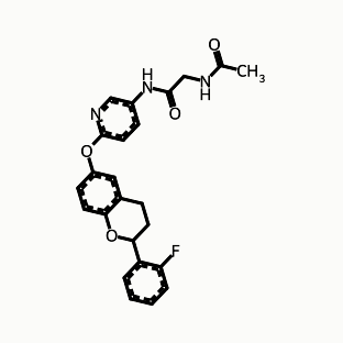 CC(=O)NCC(=O)Nc1ccc(Oc2ccc3c(c2)CCC(c2ccccc2F)O3)nc1